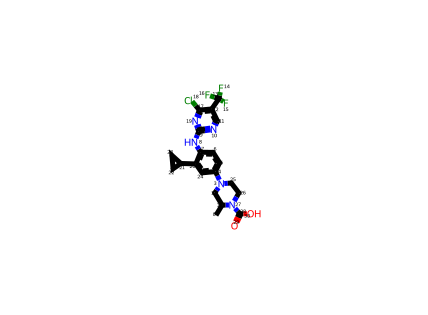 CC1CN(c2ccc(Nc3ncc(C(F)(F)F)c(Cl)n3)c(C3CC3)c2)CCN1C(=O)O